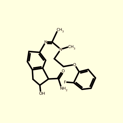 CC(=Nc1ccc2c(c1)C(C(N)=O)C(O)C2)N(C)CCOc1ccccc1F